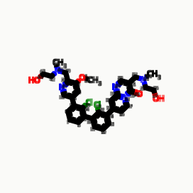 COc1cc(-c2cccc(-c3cccc(-c4ccn5c(=O)c(CN(C)CCO)cnc5c4)c3Cl)c2Cl)cnc1CN(C)CCO